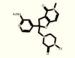 CCN1CCN(CC2(c3ccnc(NC(C)=O)c3)Cc3c(ccn(C)c3=O)O2)CC1=O